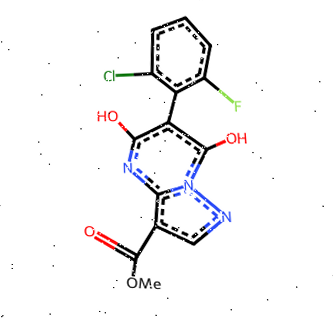 COC(=O)c1cnn2c(O)c(-c3c(F)cccc3Cl)c(O)nc12